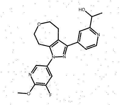 COc1ncc(-n2nc(-c3ccnc(C(C)O)c3)c3c2CCOCC3)cc1F